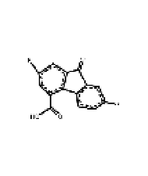 O=C(O)c1cc(F)cc2c1-c1ccc(F)cc1C2=O